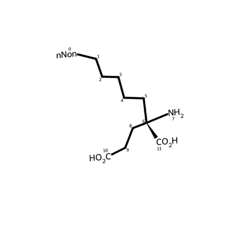 CCCCCCCCCCCCCC[C@](N)(CCC(=O)O)C(=O)O